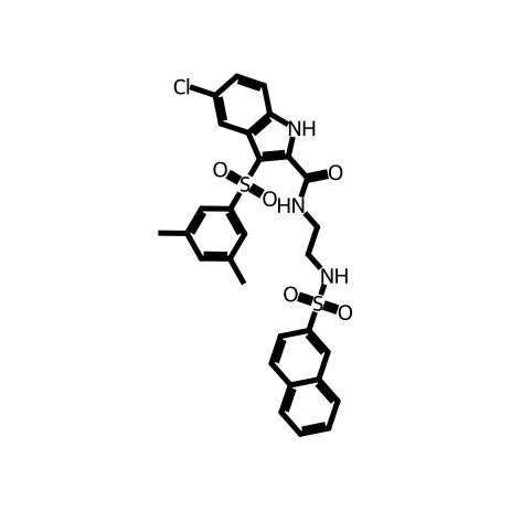 Cc1cc(C)cc(S(=O)(=O)c2c(C(=O)NCCNS(=O)(=O)c3ccc4ccccc4c3)[nH]c3ccc(Cl)cc23)c1